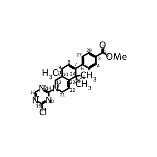 COC(=O)c1ccc(C2=CC[C@]3(C)CN(c4ncnc(Cl)n4)CC=C3C2(C)C)cc1